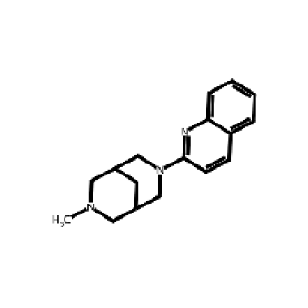 CN1CC2CC(C1)CN(c1ccc3ccccc3n1)C2